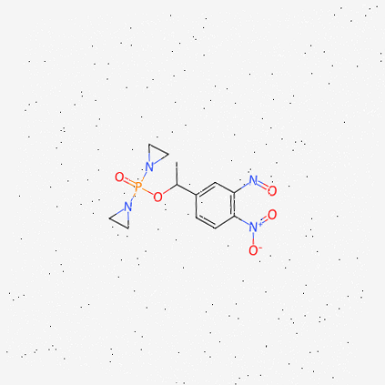 CC(OP(=O)(N1CC1)N1CC1)c1ccc([N+](=O)[O-])c(N=O)c1